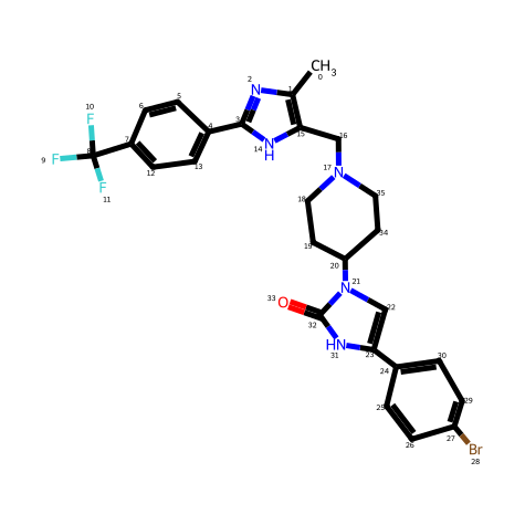 Cc1nc(-c2ccc(C(F)(F)F)cc2)[nH]c1CN1CCC(n2cc(-c3ccc(Br)cc3)[nH]c2=O)CC1